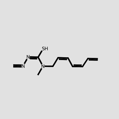 C=C/C=C\C=C/CN(C)/C(S)=N\N=C